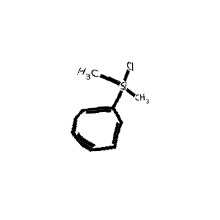 C[Si](C)(Cl)c1[c]cccc1